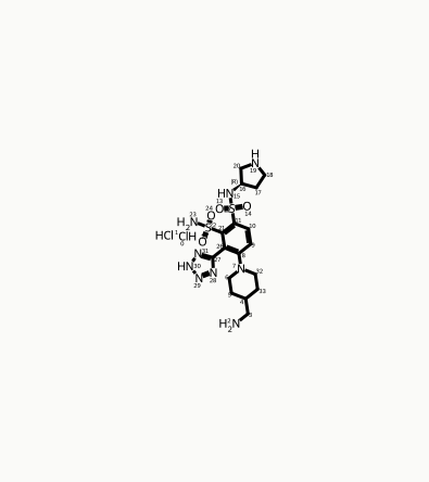 Cl.Cl.NCC1CCN(c2ccc(S(=O)(=O)N[C@@H]3CCNC3)c(S(N)(=O)=O)c2-c2nn[nH]n2)CC1